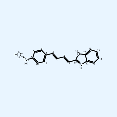 CNc1ccc(C=CC=Cc2nc3ccccc3o2)cc1